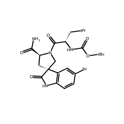 [2H]c1ccc2c(c1)[C@@]1(C[C@@H](C(N)=O)N(C(=O)[C@H](CC(C)C)NC(=O)OC(C)(C)C)C1)C(=O)N2